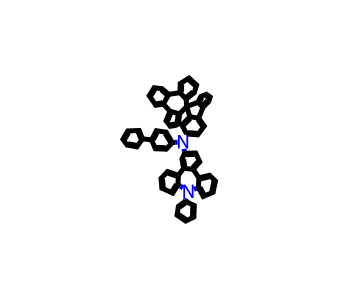 c1ccc(-c2ccc(N(c3ccc4c(c3)-c3ccccc3N(c3ccccc3)c3ccccc3-4)c3ccc4c(c3)C3(c5ccccc5-c5ccccc5-c5ccccc53)c3ccccc3-4)cc2)cc1